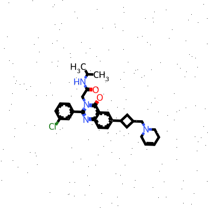 CC(C)NC(=O)Cn1c(-c2cccc(Cl)c2)nc2ccc(C3CC(CN4CC=CCC4)C3)cc2c1=O